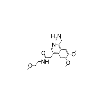 COCCNC(=O)Cc1cnc(CN)c2cc(OC)c(OC)cc12